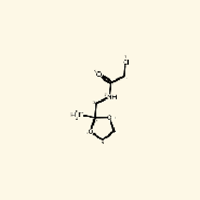 CC1(CNC(=O)CCl)OCCO1